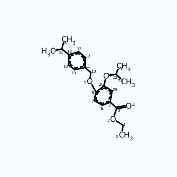 CCOC(=O)c1ccc(OCc2ccc(C(C)C)cc2)c(OC(C)C)c1